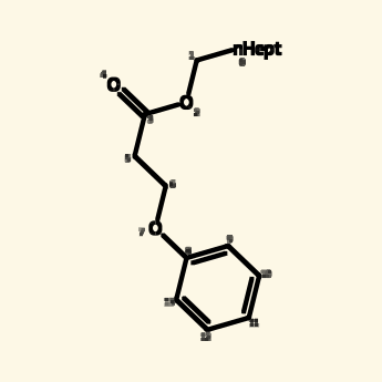 CCCCCCCCOC(=O)CCOc1ccccc1